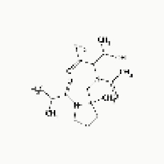 CC(=O)N(CC1(C)CCCN1C(=O)C(C)C)C(C(N)=O)C(C)O